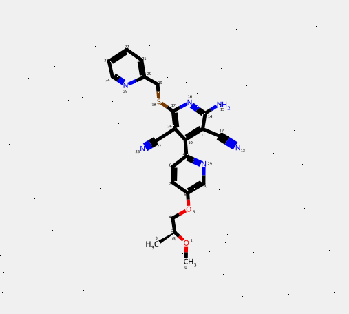 CO[C@@H](C)COc1ccc(-c2c(C#N)c(N)nc(SCc3ccccn3)c2C#N)nc1